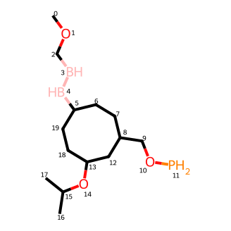 COCBBC1CCC(COP)CC(OC(C)C)CC1